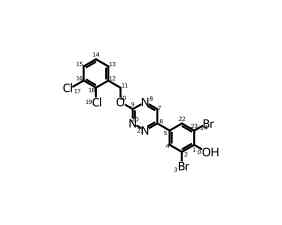 Oc1c(Br)cc(-c2cnc(OCc3cccc(Cl)c3Cl)nn2)cc1Br